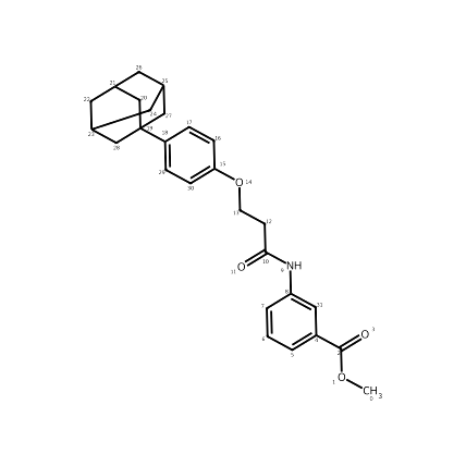 COC(=O)c1cccc(NC(=O)CCOc2ccc(C34CC5CC(CC(C5)C3)C4)cc2)c1